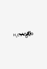 CCCCCOC(=O)C1=NC(=O)N=C1